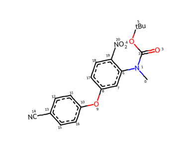 CN(C(=O)OC(C)(C)C)c1cc(Oc2ccc(C#N)cc2)ccc1[N+](=O)[O-]